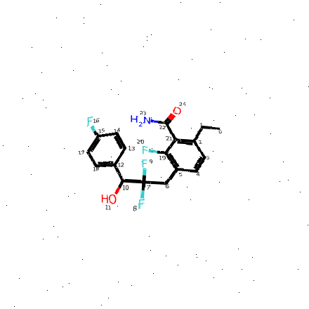 CCc1ccc(CC(F)(F)C(O)c2ccc(F)cc2)c(F)c1C(N)=O